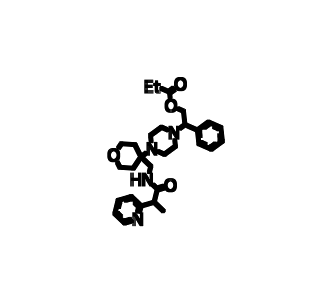 CCC(=O)OCC(c1ccccc1)N1CCN(C2(CNC(=O)C(C)c3ccccn3)CCOCC2)CC1